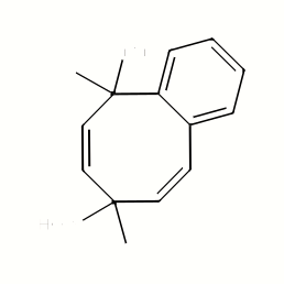 CCC(C)C1(C)/C=C\C(C)(S(=O)(=O)O)/C=C\c2ccccc21